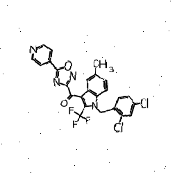 Cc1ccc2c(c1)c(C(=O)c1noc(-c3ccncc3)n1)c(C(F)(F)F)n2Cc1ccc(Cl)cc1Cl